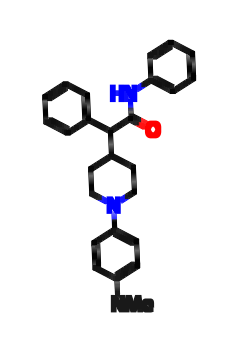 CNc1ccc(N2CCC(C(C(=O)Nc3ccccc3)c3ccccc3)CC2)cc1